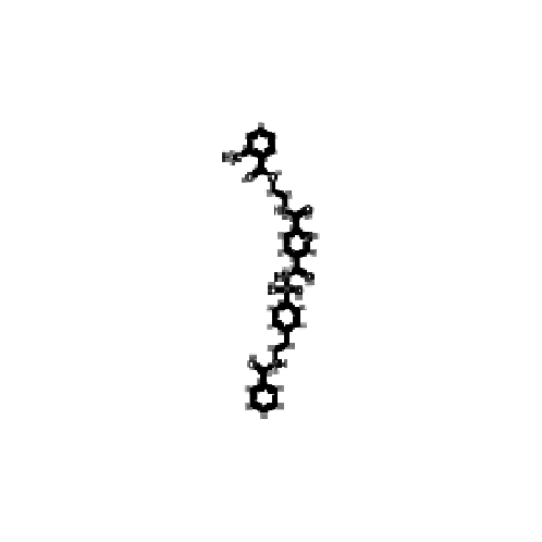 Cc1ccccc1C(=O)OCCNC(=O)c1ccc(C(=O)NS(=O)(=O)c2ccc(CCNC(=O)c3ccccc3)cc2)cn1